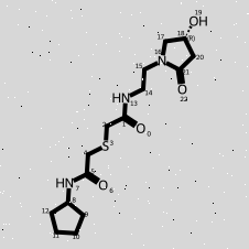 O=C(CSCC(=O)NC1CCCC1)NCCN1C[C@H](O)CC1=O